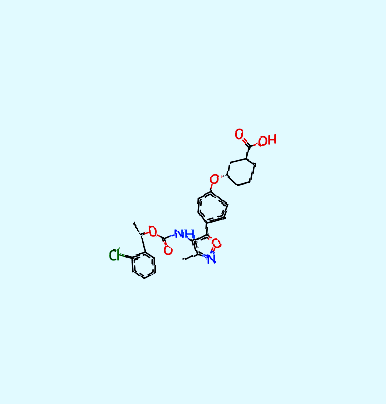 Cc1noc(-c2ccc(O[C@H]3CCC[C@H](C(=O)O)C3)cc2)c1NC(=O)O[C@H](C)c1ccccc1Cl